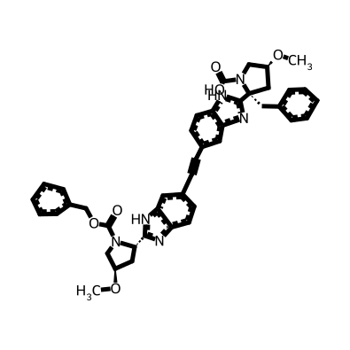 CO[C@@H]1C[C@@H](c2nc3ccc(C#Cc4ccc5[nH]c([C@]6(Cc7ccccc7)C[C@@H](OC)CN6C(=O)O)nc5c4)cc3[nH]2)N(C(=O)OCc2ccccc2)C1